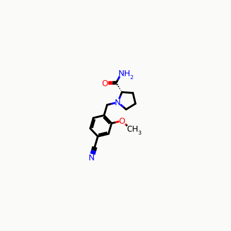 COc1cc(C#N)ccc1CN1CCC[C@H]1C(N)=O